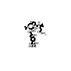 CC(C)N1CC[C@H]2CC[C@@H](C(=O)NC3(CCC(N)=O)CC3)N2C(=O)[C@@H](NC(=O)c2cc3cc(C(=O)P(=O)(O)O)ccc3[nH]2)C1